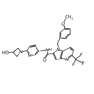 COc1cccc(Cn2c(C(=O)Nc3ccc(N4CC(O)C4)nc3)cc3nc(C(F)(F)F)ccc32)c1